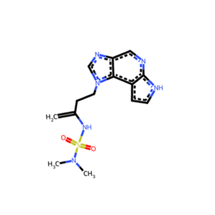 C=C(CCn1cnc2cnc3[nH]ccc3c21)NS(=O)(=O)N(C)C